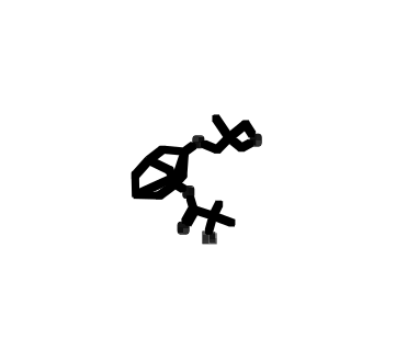 CCC(C)(C)C(=O)OC12CC3CC(CC(OCC4(C)COC4)(C3)C1)C2